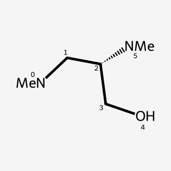 CNC[C@@H](CO)NC